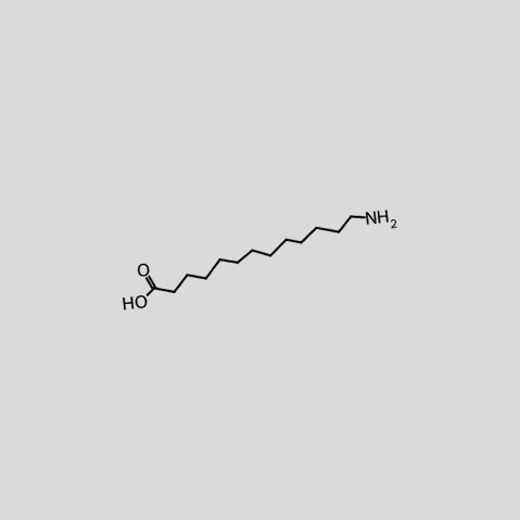 NCCCCCCCCCCCCC(=O)O